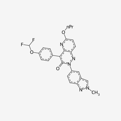 CCCOc1ccc2nn(-c3ccc4nn(C)cc4c3)c(=O)c(-c3ccc(OC(F)F)cc3)c2n1